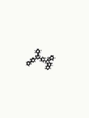 c1ccc(-c2ccc(-c3cc(-c4ccc(-c5nc6c7ccccc7ccc6c6c5sc5ccccc56)cc4)nc(-c4ccccc4)n3)cc2)cc1